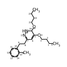 CCCCOC1=CC(CCc2ccccc2C)=NNC1OCCCC